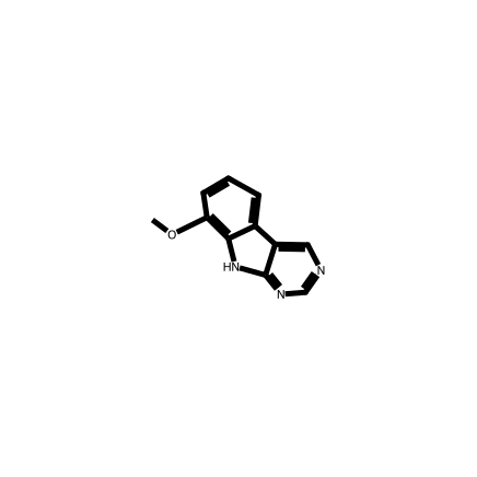 COc1cccc2c1[nH]c1ncncc12